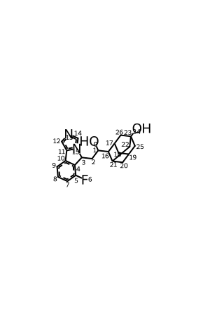 OC(CC1c2c(F)cccc2-c2cncn21)C1C2CC3CC1CC(O)(C3)C2